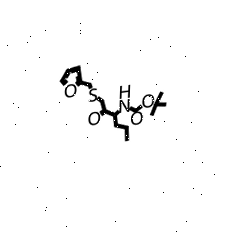 CCCC(NC(=O)OC(C)(C)C)C(=O)CSCc1ccco1